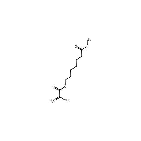 C=C(C)C(=O)OCCCCCCC(=O)OC(C)(C)C